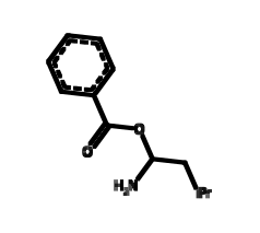 CC(C)CC(N)OC(=O)c1ccccc1